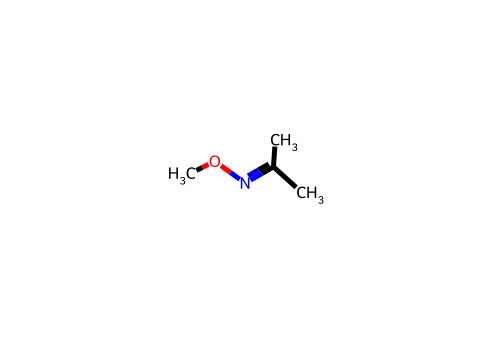 CON=C(C)C